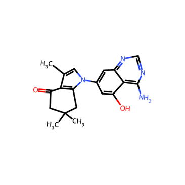 Cc1cn(-c2cc(O)c3c(N)ncnc3c2)c2c1C(=O)CC(C)(C)C2